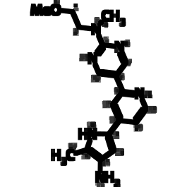 COCCN(C)c1ncc(-c2cc(-c3cc(N)c(C)[nH]3)ccn2)cn1